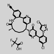 C[C@@H]1CCC[C@H](n2cnc(-c3cc(Cl)ccc3-n3cc(Cl)nn3)cc2=O)c2ccnc(c2)-c2ccc(C#N)cc2NC1=O.O=C(O)C(F)(F)F